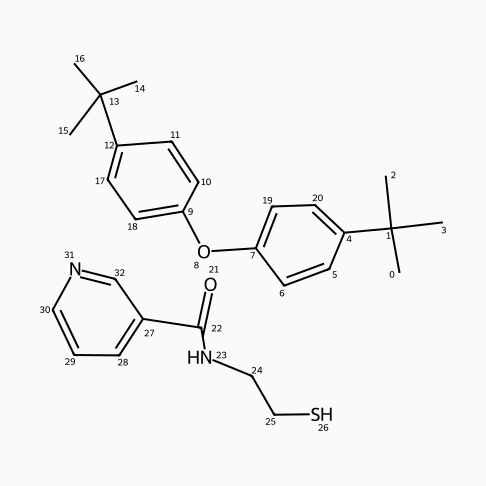 CC(C)(C)c1ccc(Oc2ccc(C(C)(C)C)cc2)cc1.O=C(NCCS)c1cccnc1